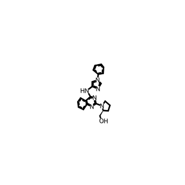 OC[C@@H]1CCCN1c1nc(Nc2cn(-c3ccccc3)cn2)c2ccccc2n1